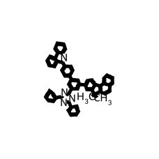 CC1(C)c2cc(-c3cc(-c4ccc(-c5nc6ccccc6c6ccccc56)cc4)cc(-c4nc(-c5ccccc5)nc(-c5ccccc5)n4)c3)ccc2-c2c1ccc1ccccc21